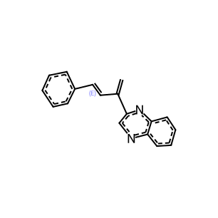 C=C(/C=C/c1ccccc1)c1cnc2ccccc2n1